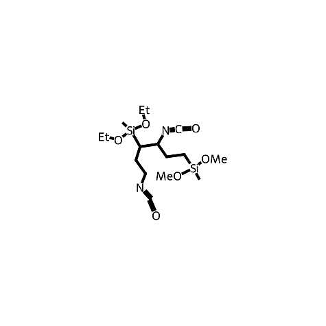 CCO[Si](C)(OCC)C(CCN=C=O)C(CC[Si](C)(OC)OC)N=C=O